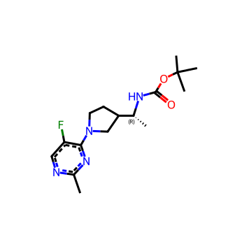 Cc1ncc(F)c(N2CCC([C@@H](C)NC(=O)OC(C)(C)C)C2)n1